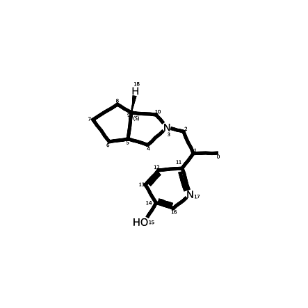 CC(CN1CC2CCC[C@@H]2C1)c1ccc(O)cn1